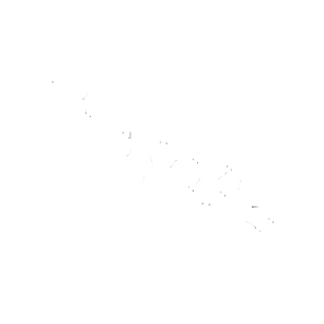 O=COC(=O)NCCNC(=O)c1ccc(Nc2nccn3c(-c4c[nH]nc4CF)cnc23)cc1Cl